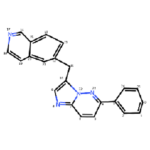 c1ccc(-c2ccc3ncc(Cc4ccc5cnccc5c4)n3n2)cc1